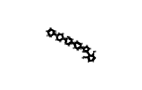 Fc1cccc(F)c1C1=NC(c2ccc(-c3cnc(N4CCN(c5ccccn5)CC4)nc3)cc2)CC1